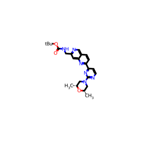 C[C@@H]1CN(c2nccc(-c3ccc4cnc(CNC(=O)OC(C)(C)C)cc4n3)n2)C[C@H](C)O1